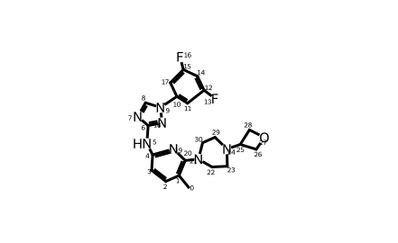 Cc1ccc(Nc2ncn(-c3cc(F)cc(F)c3)n2)nc1N1CCN(C2COC2)CC1